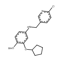 COc1ccc(NCc2ccc(Cl)nc2)cc1OC1CCCC1